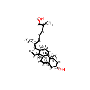 CC(CO)CCC[C@@H](C)[C@H]1CC[C@H]2[C@@H]3CC=C4C[C@@H](O)CC[C@]4(C)[C@H]3CC[C@]12C